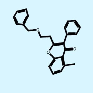 Cc1cccc2oc(CCOCc3ccccc3)c(-c3ccccc3)c(=O)c12